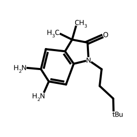 CC(C)(C)CCCN1C(=O)C(C)(C)c2cc(N)c(N)cc21